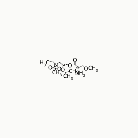 CCN(C[C@@H](COC(=O)[C@@H](N)COC)OC(C)C)S(C)(=O)=O